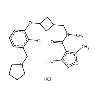 Cc1noc(C)c1C(=O)N(C)CC1CC(Oc2cccc(CN3CCCC3)c2Cl)C1.Cl